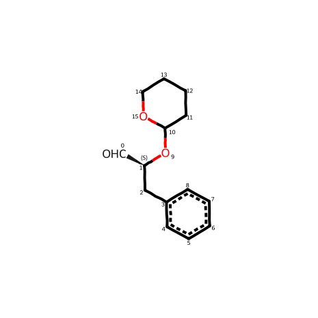 O=C[C@H](Cc1ccccc1)OC1CCCCO1